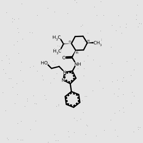 CC(C)[C@@H]1CC[C@@H](C)C[C@H]1C(=O)Nc1cc(-c2ccccc2)nn1CCO